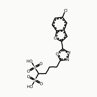 O=S(=O)(O)C(CCCc1nnc(-c2cc3cc(Cl)ccc3o2)o1)S(=O)(=O)O